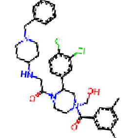 Cc1cc(C)cc(C(=O)[N+]2(CO)CCN(C(=O)CNC3CCN(Cc4ccccc4)CC3)C(c3ccc(Cl)c(Cl)c3)C2)c1